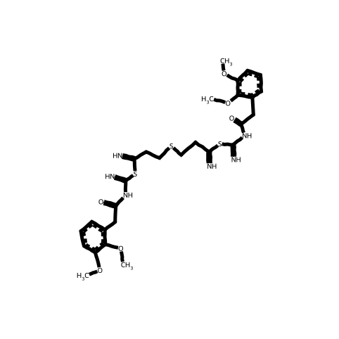 COc1cccc(CC(=O)NC(=N)SC(=N)CCSCCC(=N)SC(=N)NC(=O)Cc2cccc(OC)c2OC)c1OC